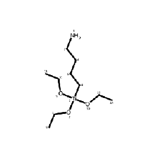 CC[O][Ti]([CH2]CCCN)([O]CC)[O]CC